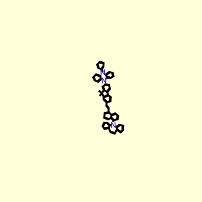 CC1(C)c2cc(/C=C/c3cccc4c(N5c6ccccc6C=Cc6ccccc65)cccc34)ccc2-c2ccc(N3c4ccccc4N(c4ccccc4)c4ccccc43)cc21